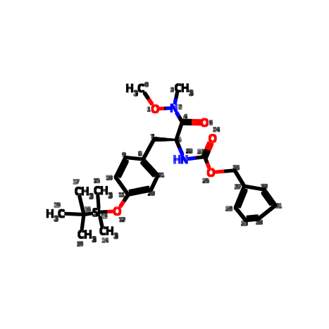 CON(C)C(=O)[C@H](Cc1ccc(O[Si](C)(C)C(C)(C)C)cc1)NC(=O)OCc1ccccc1